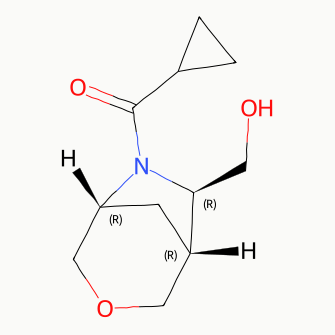 O=C(C1CC1)N1[C@H]2COC[C@H](C2)[C@@H]1CO